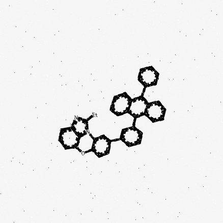 CCc1nc2cccc3c2n1-c1cc(-c2cccc(-c4c5ccccc5c(-c5ccccc5)c5ccccc45)c2)ccc1O3